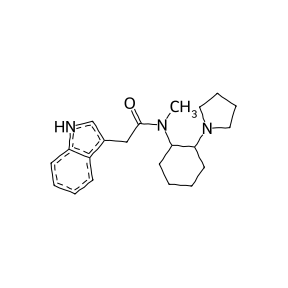 CN(C(=O)Cc1c[nH]c2ccccc12)C1CCCCC1N1CCCC1